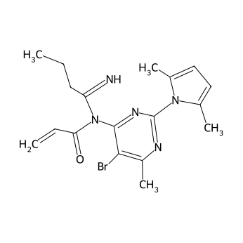 C=CC(=O)N(C(=N)CCC)c1nc(-n2c(C)ccc2C)nc(C)c1Br